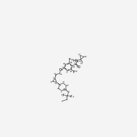 CCC(F)(F)CN1CCC([C@H]2C[C@H]2CCOc2cc(F)c(C(=O)NC3(C)CC3)c(F)c2)CC1